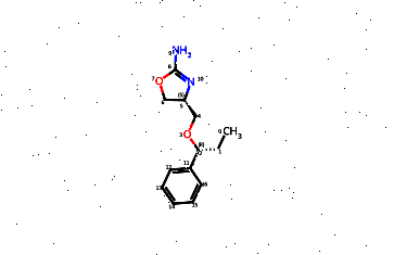 CC[C@@H](OC[C@H]1COC(N)=N1)c1ccccc1